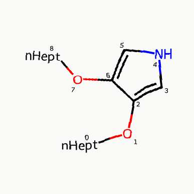 CCCCCCCOc1c[nH]cc1OCCCCCCC